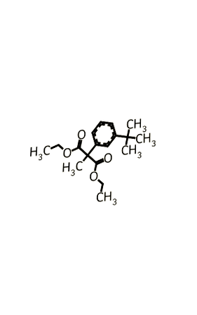 CCOC(=O)C(C)(C(=O)OCC)c1cccc(C(C)(C)C)c1